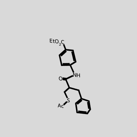 CCOC(=O)c1ccc(NC(=O)C(CSC(C)=O)Cc2ccccc2)cc1